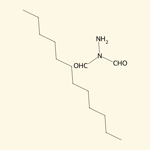 CCCCCCCCCCCC.NN(C=O)C=O